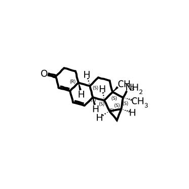 C[C@]1(N)[C@H]2C[C@H]2[C@H]2[C@@H]3C=CC4=CC(=O)CC[C@@H]4[C@H]3CC[C@@]21C